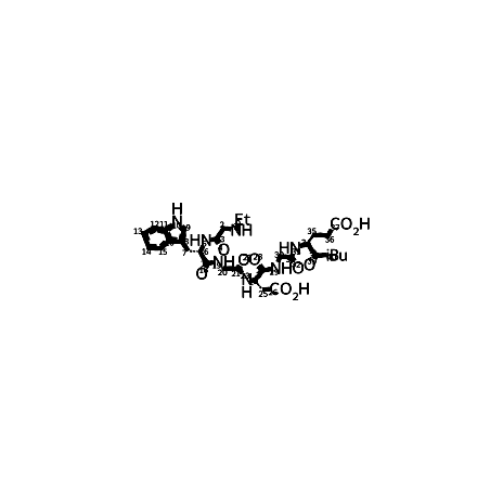 CCNCC(=O)N[C@@H](Cc1c[nH]c2ccccc12)C(=O)NCC(=O)N[C@@H](CC(=O)O)C(=O)NCC(=O)N[C@@H](CCC(=O)O)C(=O)C(C)CC